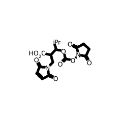 CC(C)C(OC(=O)ON1C(=O)CCC1=O)C(CN1C(=O)C=CC1=O)C(=O)O